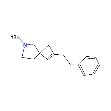 CC(C)(C)N1CCC2(C=C(CCc3ccccc3)C2)C1